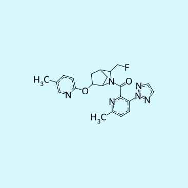 Cc1ccc(OC2CC3CC2N(C(=O)c2nc(C)ccc2-n2nccn2)C3CF)nc1